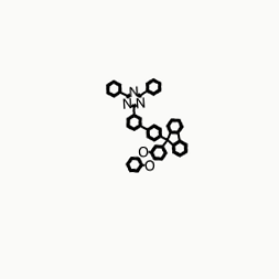 c1ccc(-c2nc(-c3ccccc3)nc(-c3cccc(-c4ccc(C5(c6ccc7c(c6)Oc6ccccc6O7)c6ccccc6-c6ccccc65)cc4)c3)n2)cc1